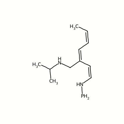 C\C=C/C=C(\C=C/NP)CNC(C)C